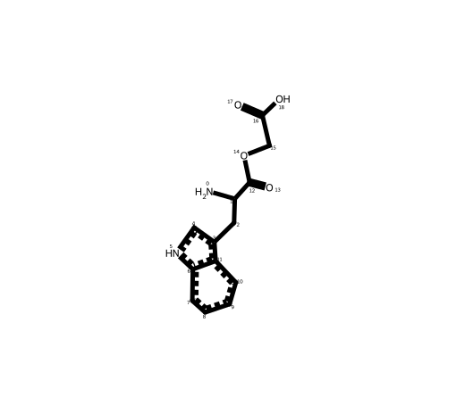 NC(Cc1c[nH]c2ccccc12)C(=O)OCC(=O)O